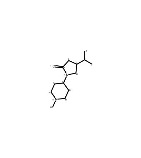 CC(C)C1CC(=O)N(C2CCN(C)CC2)C1